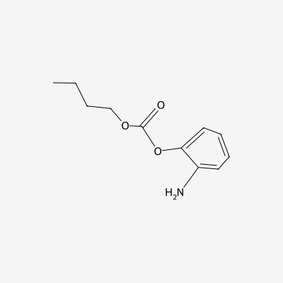 CCCCOC(=O)Oc1ccccc1N